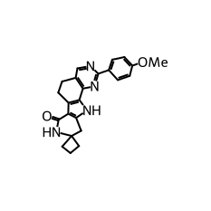 COc1ccc(-c2ncc3c(n2)-c2[nH]c4c(c2CC3)C(=O)NC2(CCC2)C4)cc1